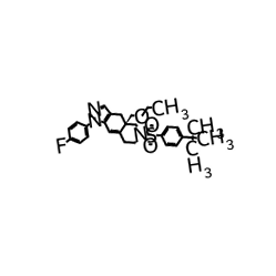 CCOC[C@]12Cc3cnn(-c4ccc(F)cc4)c3C=C1CCN(S(=O)(=O)c1ccc(C(C)(C)C)cc1)C2